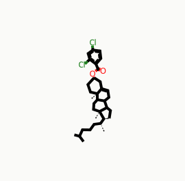 CC(C)CCC[C@@H](C)[C@H]1CCC2C3CC=C4CC(OC(=O)c5ccc(Cl)cc5Cl)CC[C@]4(C)C3CC[C@@]21C